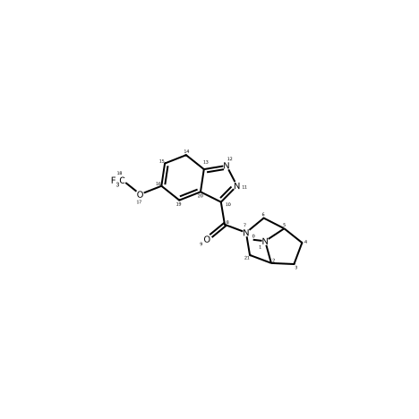 CN1C2CCC1CN(C(=O)C1=NN=C3CC=C(OC(F)(F)F)C=C31)C2